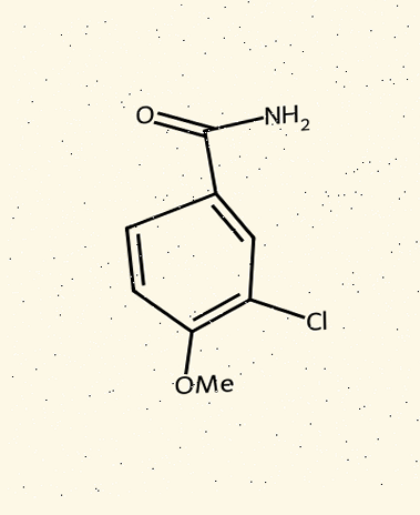 COc1ccc(C(N)=O)cc1Cl